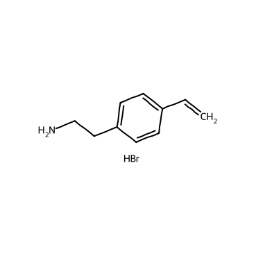 Br.C=Cc1ccc(CCN)cc1